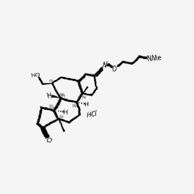 CNCCCON=C1CC[C@@]2(C)C(C1)C[C@H](CO)[C@@H]1[C@@H]2CC[C@]2(C)C(=O)CC[C@@H]12.Cl